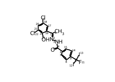 C/C(=N\NC(=O)c1ccc(C(F)(I)I)cc1)c1cc(Cl)cc(Cl)c1O